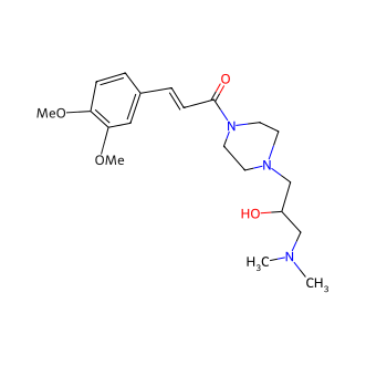 COc1ccc(C=CC(=O)N2CCN(CC(O)CN(C)C)CC2)cc1OC